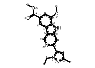 CCn1nc(C)cc1-c1cc2[nH]c3c(OC)cc(C(=O)OC)cc3c2cn1